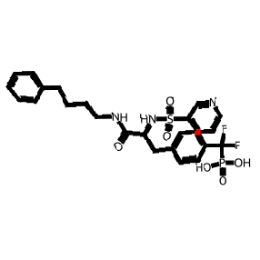 O=C(NCCCCc1ccccc1)C(Cc1ccc(C(F)(F)P(=O)(O)O)cc1)NS(=O)(=O)c1cccnc1